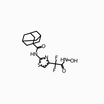 O=C(Nc1nc(C(F)(F)C(=O)NO)cs1)C12CC3CC(CC(C3)C1)C2